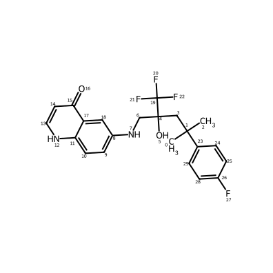 CC(C)(CC(O)(CNc1ccc2[nH]ccc(=O)c2c1)C(F)(F)F)c1ccc(F)cc1